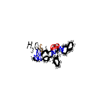 Cc1ncc(C=CC(=O)N(Cc2ccc(-n3cccn3)cc2)[C@@H](Cc2ccccc2)C(=O)N2CCc3ccccc3C2)s1